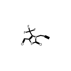 C#CCn1c(C(F)(F)F)c(C=O)sc1=O